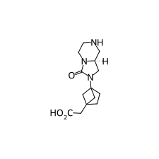 O=C(O)CC12CCC(N3C[C@@H]4CNCCN4C3=O)(C1)C2